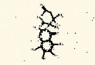 Bc1c(B)c(N)c2c(=O)n(C3(B)C(=O)NC(=O)CC3(B)B)c(C)nc2c1B